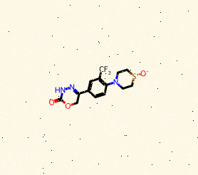 O=C1NN=C(c2ccc(N3CC[S+]([O-])CC3)c(C(F)(F)F)c2)CO1